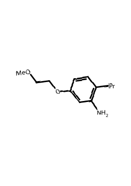 COCCOc1ccc(C(C)C)c(N)c1